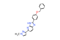 Cn1ccc(-c2ccc3nc(-c4ccc(OCc5ccccc5)cc4)[nH]c3n2)n1